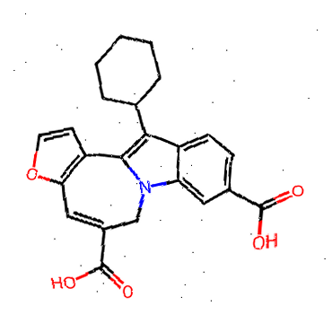 O=C(O)C1=Cc2occc2-c2c(C3CCCCC3)c3ccc(C(=O)O)cc3n2C1